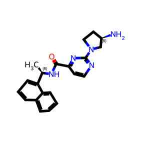 C[C@@H](NC(=O)c1ccnc(N2CC[C@@H](N)C2)n1)c1cccc2ccccc12